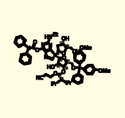 CCNc1nc(OC(=O)N(c2ccccc2)c2ccccc2)c2c(n1)[N+]([C@@H]1C[C@H](O)[C@@H](CO)O1)([C@@H]1O[C@H](COC(c3ccccc3)(c3ccc(OC)cc3)c3ccc(OC)cc3)[C@@H](OP(OCCC#N)N(C(C)C)C(C)C)[C@H]1O)C=N2